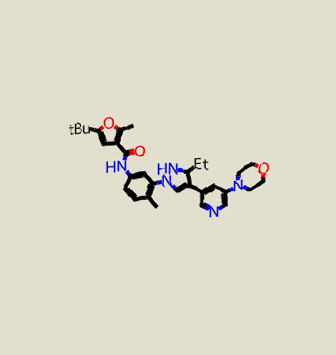 CCC1NN(c2cc(NC(=O)c3cc(C(C)(C)C)oc3C)ccc2C)C=C1c1cncc(N2CCOCC2)c1